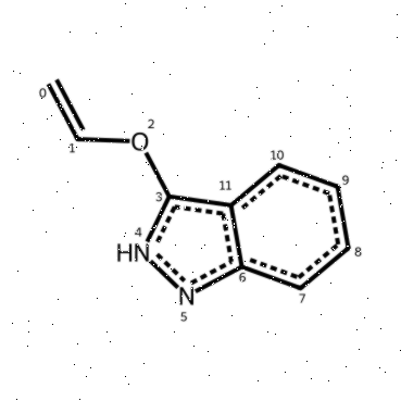 C=COc1[nH]nc2ccccc12